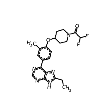 CCc1nc2c(-c3ccc(OC4CCN(C(=O)C(F)F)CC4)c(C)c3)ncnc2[nH]1